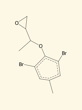 Cc1cc(Br)c(OC(C)C2CO2)c(Br)c1